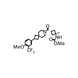 COC(=O)N[C@]1(C)C[C@H](C(=O)N2CCC3(CC2)CC(c2ccc(OC)c(C(F)(F)F)c2)C3)C1